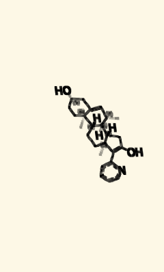 C[C@H]1C=C2C[C@@H](O)CC[C@]2(C)[C@H]2CC[C@]3(C)C(c4ccccn4)=C(O)C[C@H]3[C@H]12